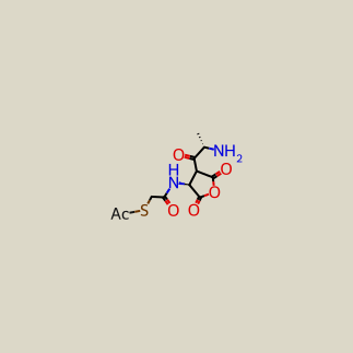 CC(=O)SCC(=O)N[C@@H]1C(=O)OC(=O)C1C(=O)[C@H](C)N